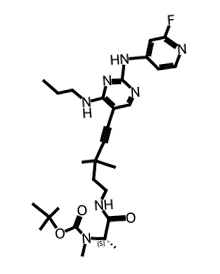 CCCNc1nc(Nc2ccnc(F)c2)ncc1C#CC(C)(C)CCNC(=O)[C@H](C)N(C)C(=O)OC(C)(C)C